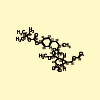 COC(=O)[C@]1(NC(=O)[C@@H](C)Cc2ccc(OC(=O)OC(C)(C)C)cc2)CS(=O)(=O)[C@H]2[C@H](COC=O)[C@H]21